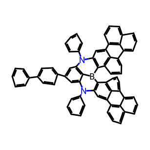 c1ccc(-c2ccc(-c3cc4c5c(c3)N(c3ccccc3)c3cc6c7cccc8cccc(c9cccc(c3B5c3c(cc5c%10cccc%11cccc(c%12cccc3c%125)c%11%10)N4c3ccccc3)c96)c87)cc2)cc1